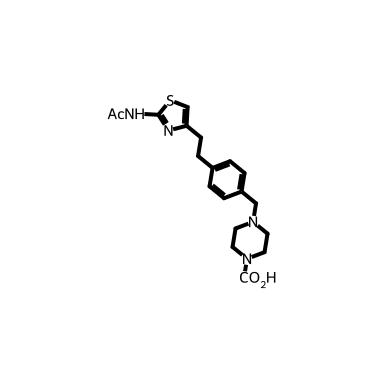 CC(=O)Nc1nc(CCc2ccc(CN3CCN(C(=O)O)CC3)cc2)cs1